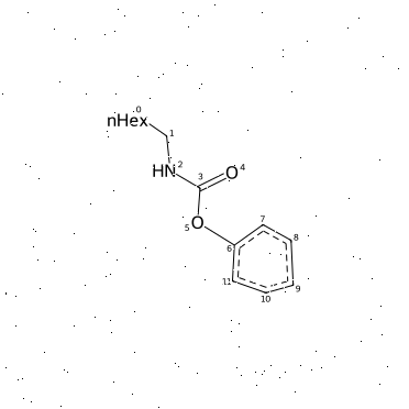 CCCCCCCNC(=O)Oc1ccccc1